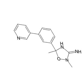 CN1OC(C)(c2cccc(-c3cccnc3)c2)NC1=N